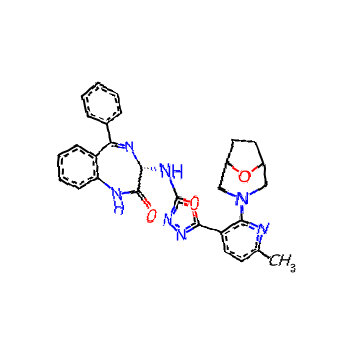 Cc1ccc(-c2nnc(N[C@H]3N=C(c4ccccc4)c4ccccc4NC3=O)o2)c(N2CC3CCC(C2)O3)n1